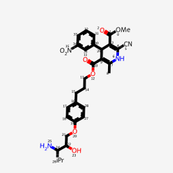 COC(=O)C1=C(C#N)NC(C)=C(C(=O)OCCCc2ccc(OCC(O)C(N)C(C)C)cc2)C1c1cccc([N+](=O)[O-])c1